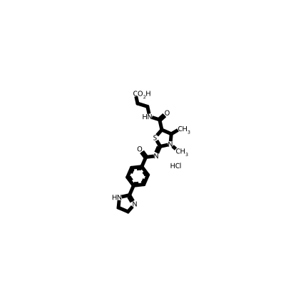 CC1C(C(=O)NCCC(=O)O)SC(=NC(=O)c2ccc(C3=NCCN3)cc2)N1C.Cl